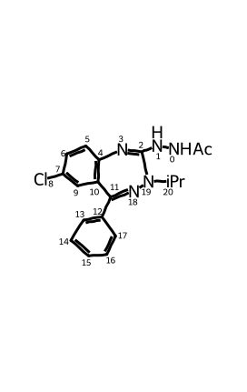 CC(=O)NNC1=Nc2ccc(Cl)cc2C(c2ccccc2)=NN1C(C)C